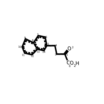 O=C(O)C(=O)CCc1ccc2ccccc2c1